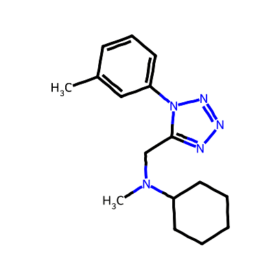 Cc1cccc(-n2nnnc2CN(C)C2CCCCC2)c1